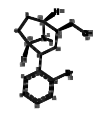 CN1[C@@H]2CC[C@H]1C(c1ccccc1Br)C[C@@H]2CO